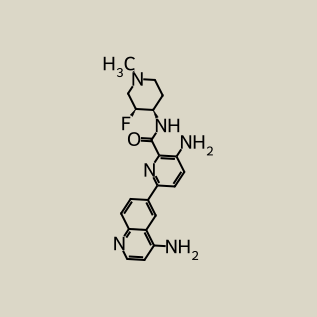 CN1CC[C@@H](NC(=O)c2nc(-c3ccc4nccc(N)c4c3)ccc2N)[C@@H](F)C1